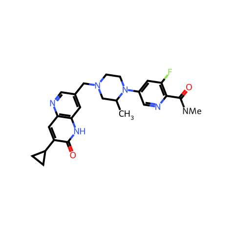 CNC(=O)c1ncc(N2CCN(Cc3cnc4cc(C5CC5)c(=O)[nH]c4c3)CC2C)cc1F